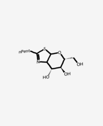 CCCCCC1=NC2C(O[C@H](CO)[C@@H](O)[C@@H]2O)S1